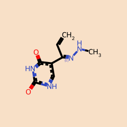 C=C/C(=N\NC)c1c[nH]c(=O)[nH]c1=O